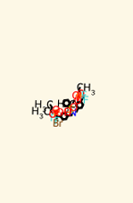 CCOP(=O)(OCC)C(F)(F)c1ccc(CN(Cc2ccc(C(F)(F)P(=O)(O)OC(C)CC)c(Br)c2)S(=O)(=O)c2ccccc2)cc1